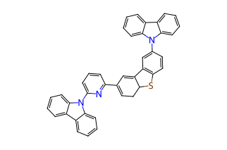 C1=C(c2cccc(-n3c4ccccc4c4ccccc43)n2)C=C2c3cc(-n4c5ccccc5c5ccccc54)ccc3SC2C1